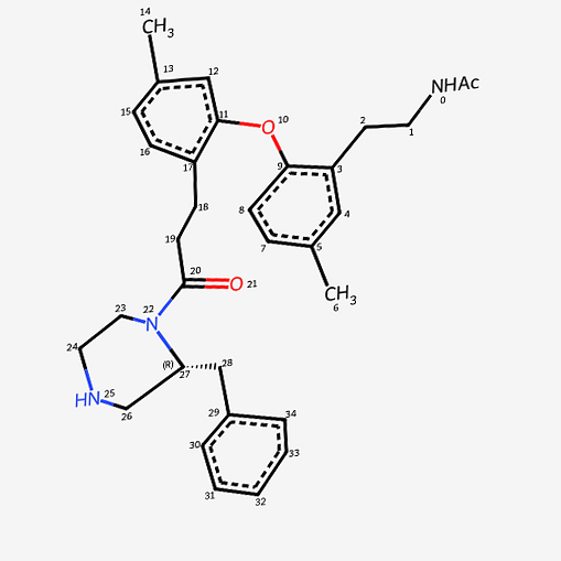 CC(=O)NCCc1cc(C)ccc1Oc1cc(C)ccc1CCC(=O)N1CCNC[C@H]1Cc1ccccc1